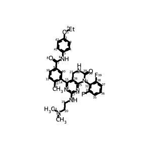 CCOc1ccc(NC(=O)c2ccc(C)c(-c3nc(NCCN(C)C)nc4c3CNC(=O)N4c3c(F)cccc3F)c2)cc1